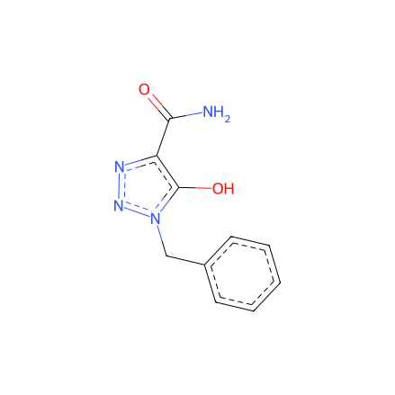 NC(=O)c1nnn(Cc2ccccc2)c1O